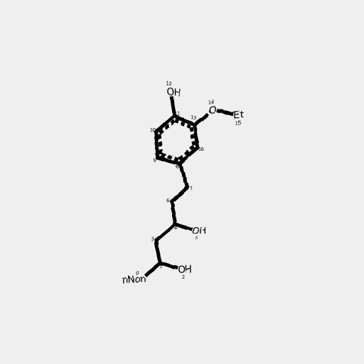 CCCCCCCCCC(O)CC(O)CCc1ccc(O)c(OCC)c1